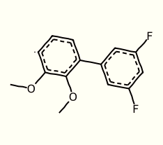 COc1[c]ccc(-c2cc(F)cc(F)c2)c1OC